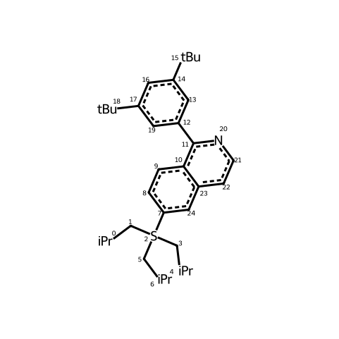 CC(C)CS(CC(C)C)(CC(C)C)c1ccc2c(-c3cc(C(C)(C)C)cc(C(C)(C)C)c3)nccc2c1